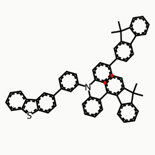 CC1(C)c2ccccc2-c2ccc(-c3ccc(N(c4cccc(-c5ccc6sc7ccccc7c6c5)c4)c4ccccc4-c4cccc5c4-c4ccccc4C5(C)C)cc3)cc21